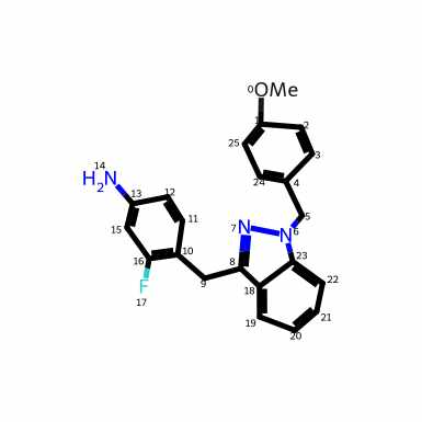 COc1ccc(Cn2nc(Cc3ccc(N)cc3F)c3ccccc32)cc1